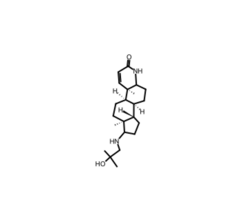 CC(C)(O)CNC1CC[C@H]2[C@@H]3CCC4NC(=O)C=C[C@]4(C)[C@@H]3CC[C@]12C